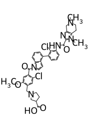 COc1cc(C(=O)n2ccc3c(-c4cccc(NC(=O)c5nc6c(n5C)CCN(C)C6)c4Cl)cccc32)c(Cl)cc1CN1CCC(C(=O)O)C1